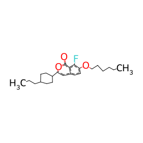 CCCCCCOc1ccc2cc(C3CCC(CCC)CC3)oc(=O)c2c1F